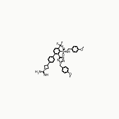 COc1ccc(CNS(=O)(=O)c2c(C(F)(F)F)ccc(-c3ccc(C4CN(C(=N)N)C4)cc3)c2-c2nnn(Cc3ccc(OC)cc3)n2)cc1